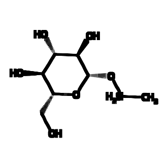 C[SiH2]O[C@@H]1O[C@H](CO)[C@@H](O)[C@H](O)[C@H]1O